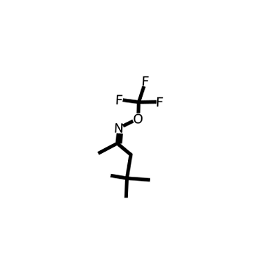 C/C(CC(C)(C)C)=N/OC(F)(F)F